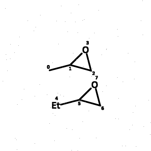 CC1CO1.CCC1CO1